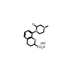 CN1CCN(c2cccc3c2OC(C(=O)O)CC3)C(F)C1.Cl